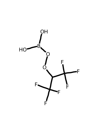 OB(O)OOC(C(F)(F)F)C(F)(F)F